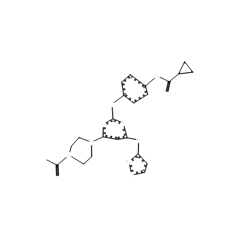 C=C(C)N1CCN(c2cc(Nc3ccn[nH]3)nc(Sc3ccc(NC(=O)C4CC4)cc3)n2)CC1